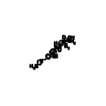 CC(N)(CO)C(=O)N1CCN(C(=O)Nc2ccn(-c3ccc(CCN4CCC(N)CC4)cc3)c(=O)n2)CC1.Cl